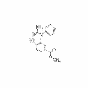 COC(=O)c1ccc(O)c(N(C(N)=O)c2ccccc2)c1